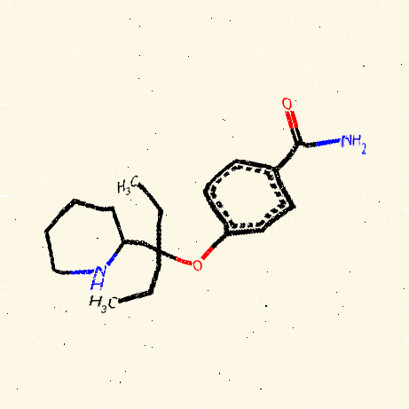 CCC(CC)(Oc1ccc(C(N)=O)cc1)C1CCCCN1